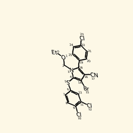 CCOCn1c(Sc2ccc(Cl)c(Cl)c2)c(Br)c(C#N)c1-c1ccc(Cl)cc1